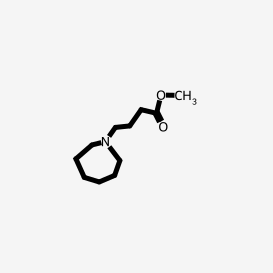 COC(=O)CCCN1CCCCCC1